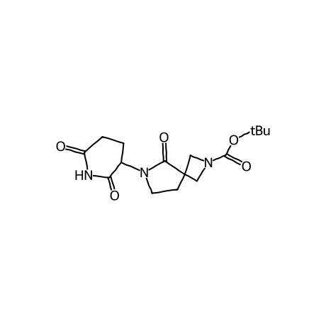 CC(C)(C)OC(=O)N1CC2(CCN(C3CCC(=O)NC3=O)C2=O)C1